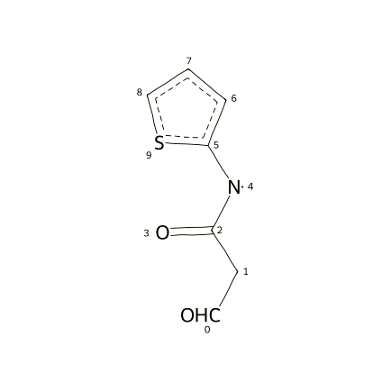 O=CCC(=O)[N]c1cccs1